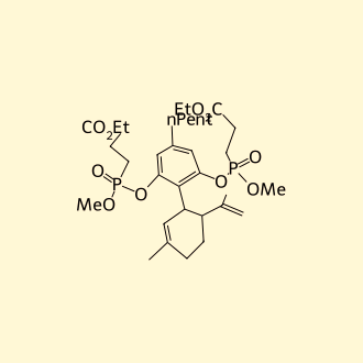 C=C(C)C1CCC(C)=CC1c1c(OP(=O)(CCC(=O)OCC)OC)cc(CCCCC)cc1OP(=O)(CCC(=O)OCC)OC